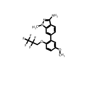 COc1ccc(OCC(F)(F)C(F)(F)F)c(-c2ccc3c(N)nn(C)c3c2)c1